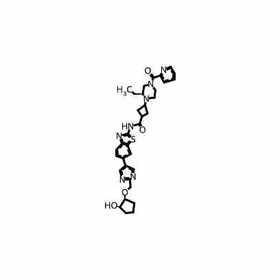 CC[C@H]1CN(C(=O)c2ccccn2)CCN1C1CC(C(=O)Nc2nc3ccc(-c4cnc(CO[C@H]5CCC[C@@H]5O)nc4)cc3s2)C1